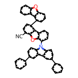 N#Cc1ccc(-c2cccc3oc4ccccc4c23)c2c1oc1c(-n3c4ccc(-c5ccccc5)cc4c4cc(-c5ccccc5)ccc43)cccc12